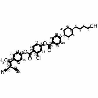 CCCCC[C@H]1CC[C@H](c2ccc(C(=O)Oc3ccc(C(=O)Oc4ccc(C(C)=C(C#N)C#N)cc4)c(Cl)c3)cc2)CC1